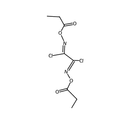 CCC(=O)ON=C(Cl)C(Cl)=NOC(=O)CC